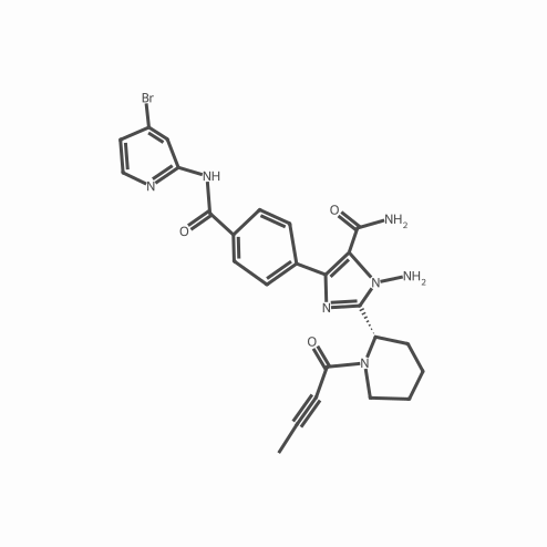 CC#CC(=O)N1CCCC[C@H]1c1nc(-c2ccc(C(=O)Nc3cc(Br)ccn3)cc2)c(C(N)=O)n1N